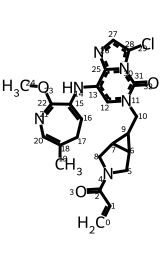 C=CC(=O)N1CC2C(C1)C2Cn1cc(NC2=CCC(C)=CN=C2OC)c2ncc(Cl)n2c1=O